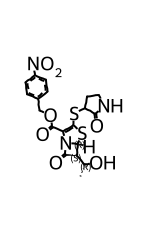 C[C@@H](O)[C@H]1C(=O)N2C(C(=O)OCc3ccc([N+](=O)[O-])cc3)=C(SC3CCNC3=O)S[C@H]12